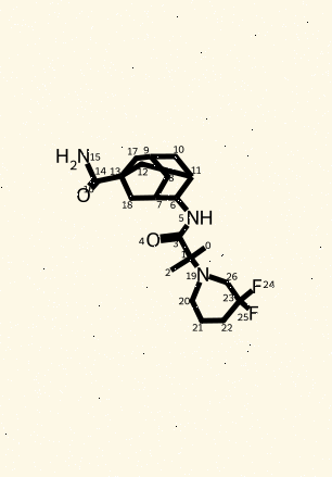 CC(C)(C(=O)NC1C2CC3CC1CC(C(N)=O)(C3)C2)N1CCCC(F)(F)C1